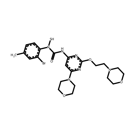 Cc1ccc(N(S)C(=O)Nc2cc(N3CCOCC3)nc(OCCN3CCOCC3)n2)c(Br)c1